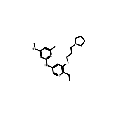 CCc1ncc(Nc2nc(C)cc(NC)n2)cc1OCCCN1CCCC1